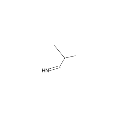 CC(C)[C]=N